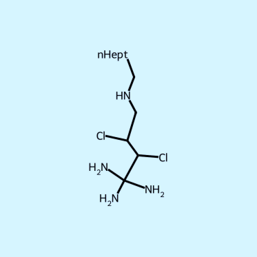 CCCCCCCCNCC(Cl)C(Cl)C(N)(N)N